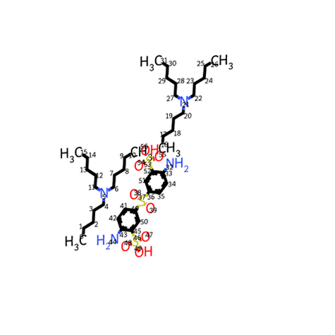 CCCCCN(CCCCC)CCCCC.CCCCCN(CCCCC)CCCCC.Nc1ccc(S(=O)(=O)c2ccc(N)c(S(=O)(=O)O)c2)cc1S(=O)(=O)O